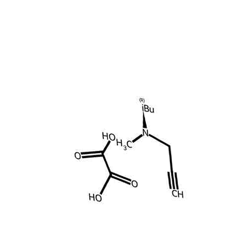 C#CCN(C)[C@H](C)CC.O=C(O)C(=O)O